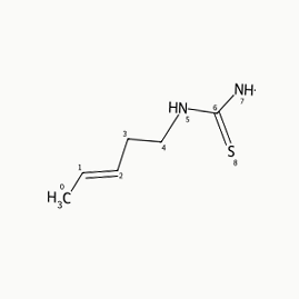 C/C=C/CCNC([NH])=S